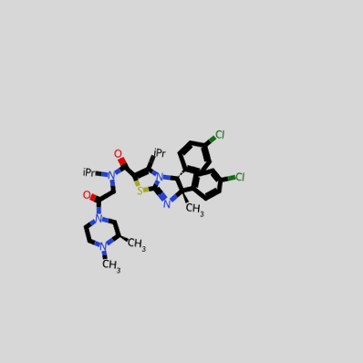 CC(C)C1=C(C(=O)N(CC(=O)N2CCN(C)[C@H](C)C2)C(C)C)SC2=N[C@@](C)(c3ccc(Cl)cc3)[C@@H](c3ccc(Cl)cc3)N21